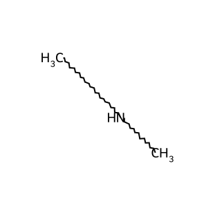 CCCCCCCCCCCCCCCCCCCCCCCCNCCCCCCCCCCCCCC